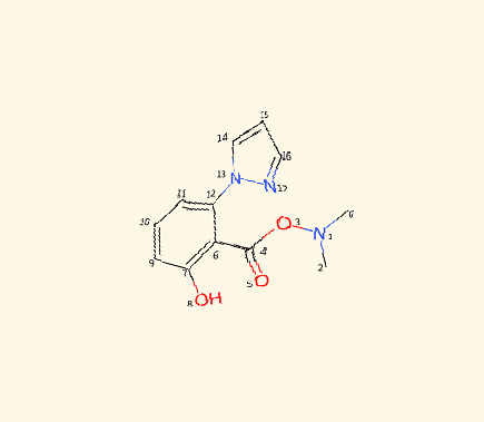 CN(C)OC(=O)c1c(O)cccc1-n1cccn1